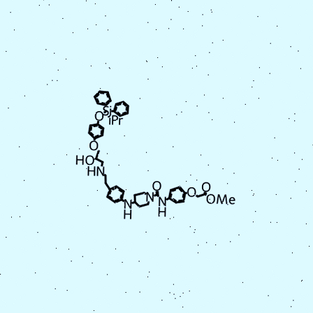 COC(=O)COc1ccc(NC(=O)N2CCC(Nc3ccc(CCNC[C@H](O)COc4ccc(O[Si](c5ccccc5)(c5ccccc5)C(C)C)cc4)cc3)CC2)cc1